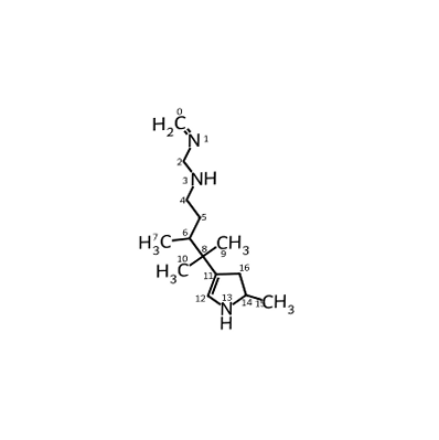 C=NCNCCC(C)C(C)(C)C1=CNC(C)C1